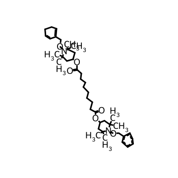 CC1(C)CC(OC(=O)CCCCCCCCC(=O)OC2CC(C)(C)N(OCc3ccccc3)C(C)(C)C2)CC(C)(C)N1OCC1=CCCC=C1